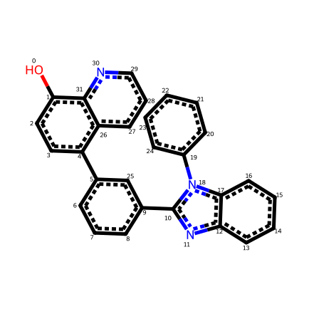 Oc1ccc(-c2cccc(-c3nc4ccccc4n3-c3ccccc3)c2)c2cccnc12